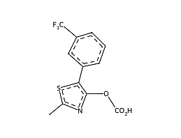 Cc1nc(OC(=O)O)c(-c2cccc(C(F)(F)F)c2)s1